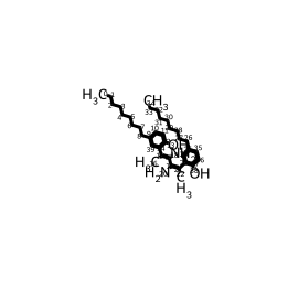 CCCCCCCCCc1ccc(O)c(C(C)=C(N)C(N)=C(C)c2cc(CCCCCCCCC)ccc2O)c1